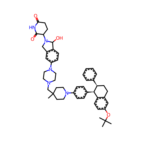 CC1(CN2CCN(c3ccc4c(c3)CN(C3CCC(=O)NC3=O)C4O)CC2)CCN(c2ccc([C@@H]3c4ccc(OC(C)(C)C)cc4CC[C@@H]3c3ccccc3)cc2)CC1